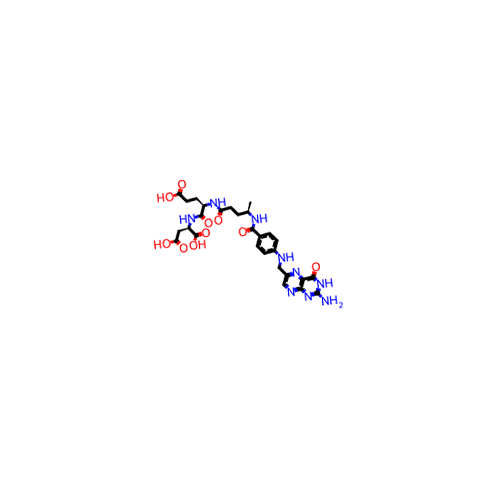 C[C@H](CCC(=O)N[C@H](CCC(=O)O)C(=O)N[C@H](CC(=O)O)C(=O)O)NC(=O)c1ccc(NCc2cnc3nc(N)[nH]c(=O)c3n2)cc1